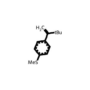 C=C(c1ccc(SC)cc1)C(C)(C)C